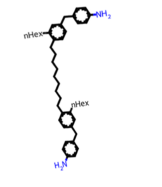 CCCCCCc1cc(Cc2ccc(N)cc2)ccc1CCCCCCCCCc1ccc(Cc2ccc(N)cc2)cc1CCCCCC